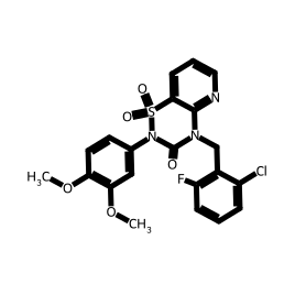 COc1ccc(N2C(=O)N(Cc3c(F)cccc3Cl)c3ncccc3S2(=O)=O)cc1OC